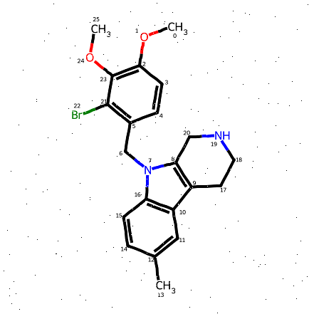 COc1ccc(Cn2c3c(c4cc(C)ccc42)CCNC3)c(Br)c1OC